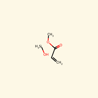 C=CC(=O)OC.O[SiH3]